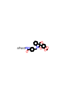 CCCCCNC(=O)c1ccc(CN2C(=O)C3(COc4cc5c(cc43)OCO5)c3ccccc32)cc1